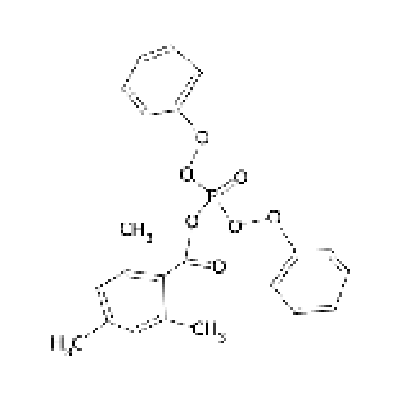 Cc1cc(C)c(C(=O)OP(=O)(OOc2ccccc2)OOc2ccccc2)c(C)c1